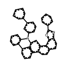 c1ccc(-c2cccc(N(c3ccc4ccc5ccc6nc(-c7ccccc7)oc6c5c4c3)c3ccccc3-c3ccccc3)c2)cc1